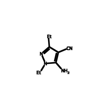 CCc1nn(CC)c(N)c1C#N